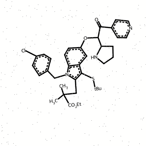 CCOC(=O)C(C)(C)Cc1c(SC(C)(C)C)c2cc(OC(C(=O)c3ccncc3)C3CCCN3)ccc2n1Cc1ccc(Cl)cc1